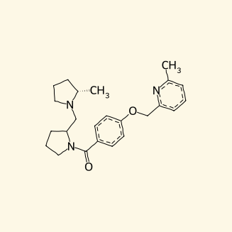 Cc1cccc(COc2ccc(C(=O)N3CCCC3CN3CCC[C@@H]3C)cc2)n1